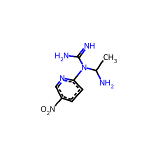 CC(N)N(C(=N)N)c1ccc([N+](=O)[O-])cn1